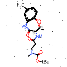 C[C@@H]1Oc2ccc(C(F)(F)F)cc2NC(=O)[C@H]1NC(=O)CCN(C)C(=O)OC(C)(C)C